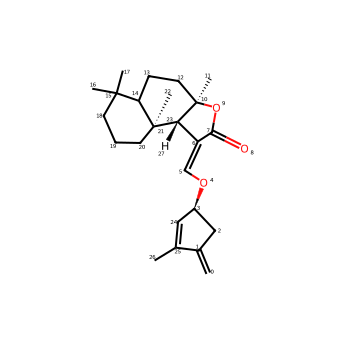 C=C1C[C@H](O/C=C2\C(=O)O[C@]3(C)CCC4C(C)(C)CCC[C@]4(C)[C@@H]23)C=C1C